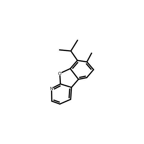 Cc1ccc2c(oc3ncccc32)c1C(C)C